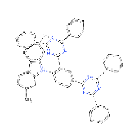 Cc1ccc2c3ccc(C)cc3n(-c3ccc(-c4nc(-c5ccccc5)nc(-c5ccccc5)n4)cc3-c3nc(-c4ccccc4)nc(-c4ccccc4)n3)c2c1